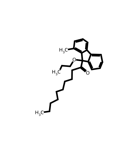 CCCCCCCCCC(=O)C1(OCCC)c2ccccc2-c2cccc(C)c21